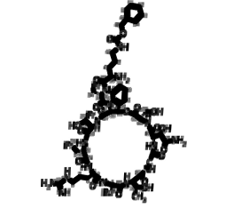 CC[C@H](C)C1NC(=O)[C@@H](CCCNC(=N)N)NC(=O)[C@H](CC(C)C)NC(=O)[C@H]([C@H](O)C(C)C)NC(=O)[C@@H](NC(=O)[C@H](CC(C)C)NC(=O)[C@H](N)CCCNC(=O)OCc2ccccc2)[C@@H](c2ccccc2)OC(=O)[C@H](CO)NC(=O)[C@H]([C@H](O)C(N)=O)NC(=O)CNC(=O)C([C@H](C)O)NC1=O